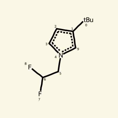 CC(C)(C)c1ccn(CC(F)F)c1